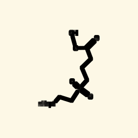 CCCCCCCCCS(=O)(=O)CCCC(=O)OO